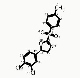 Cc1ccc(S(=O)(=O)C2=NC[C@@H](c3ccc(Cl)c(Cl)c3)O2)cc1